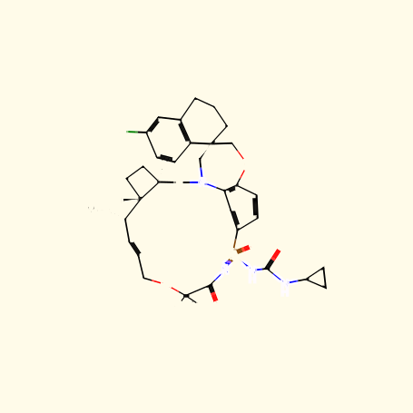 CO[C@H]1/C=C/COC(C)(C)C(=O)N=[S@](=O)(NC(=O)NC2CC2)c2ccc3c(c2)N(C[C@@H]2CC[C@H]21)C[C@@]1(CCCc2cc(Cl)ccc21)CO3